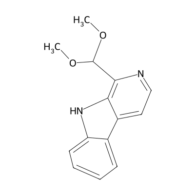 COC(OC)c1nccc2c1[nH]c1ccccc12